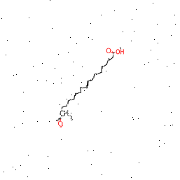 C1CO1.CCCCCCCCC=CCCCCCCCC(=O)O